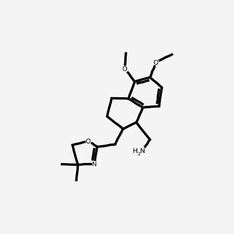 COc1ccc2c(c1OC)CCC(CC1=NC(C)(C)CO1)C2CN